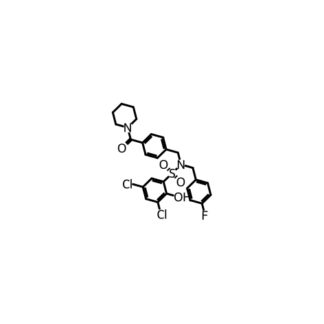 O=C(c1ccc(CN(Cc2ccc(F)cc2)S(=O)(=O)c2cc(Cl)cc(Cl)c2O)cc1)N1CCCCC1